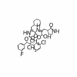 CC(C)(c1cccc(Cl)c1)C(OC(=O)N[C@@H](CC1CCCCC1)C(=O)N[C@@H](CC1CCNC1=O)C(=O)O)c1cccc(F)c1